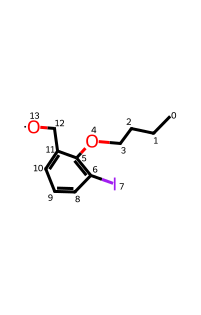 CCCCOc1c(I)cccc1C[O]